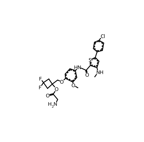 CNc1cc(-c2ccc(Cl)cc2)sc1C(=O)Nc1ccc(OCC2(OC(=O)CN)CC(F)(F)C2)c(OC)c1